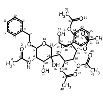 CC(=O)N[C@@H]1[C@@H](OCc2ccccc2)O[C@H](C(O)Cc2ccccc2)[C@](O)([C@@H]2O[C@H](COC(C)=O)[C@H](OC(C)=O)[C@H](OC(C)=O)[C@H]2OC(C)=O)[C@@H]1O